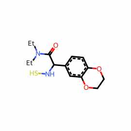 CCN(CC)C(=O)C(NS)c1ccc2c(c1)OCCO2